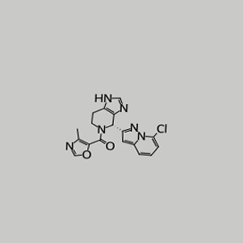 Cc1ncoc1C(=O)N1CCc2[nH]cnc2[C@@H]1c1cc2cccc(Cl)n2n1